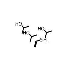 C=C[SiH3].CC(C)O.CC(C)O.CC(C)O